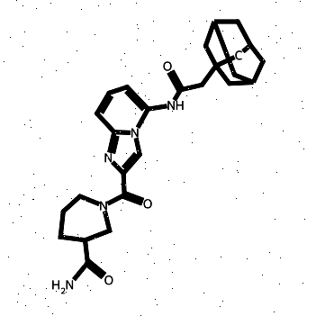 NC(=O)C1CCCN(C(=O)c2cn3c(NC(=O)CC45CC6CC(CC(C6)C4)C5)cccc3n2)C1